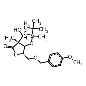 COc1ccc(COC[C@H]2OC(=O)[C@](C)(CO)C2O[Si](C)(C)C(C)(C)C)cc1